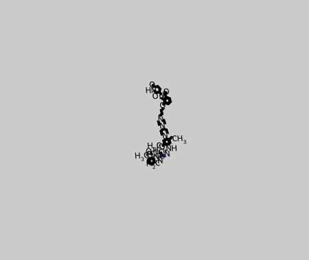 C=N/C(Nc1ccccc1P(C)(C)=O)=C(Cl)\C=N/CNc1cc(CC)c(N2CCC(N3CCN(CCCCOc4cccc5c4CN(C4CCC(=O)NC4=O)C5=O)CC3)CC2)cc1OC